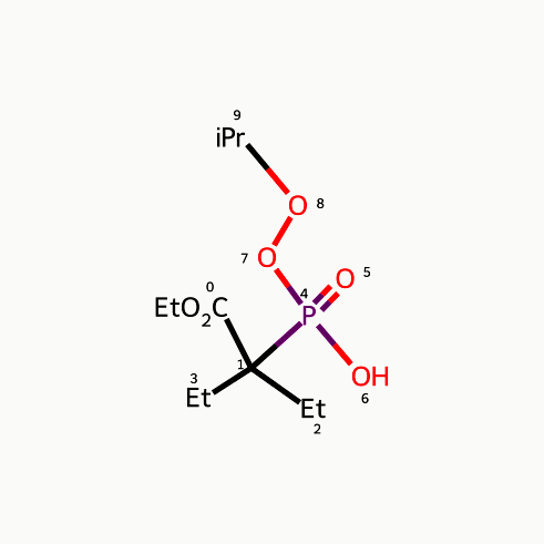 CCOC(=O)C(CC)(CC)P(=O)(O)OOC(C)C